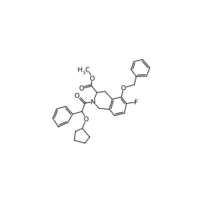 COC(=O)C1Cc2c(ccc(F)c2OCc2ccccc2)CN1C(=O)C(OC1CCCC1)c1ccccc1